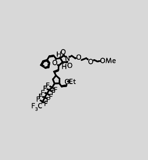 CCO/C=C\C1CC(/C=C/C2OC(/C=C\c3ccccc3)[C@@H]3C(=O)N(CCOCCOCCOC)C(=O)[C@H]23)CC1C(F)(F)C(F)(F)C(F)(F)C(F)(F)C(F)(F)C(F)(F)F